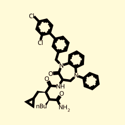 CCCC[C@H](C(N)=O)[C@@H](CC1CC1)C(=O)NC1CN(c2ccccc2)c2ccccc2N(Cc2cccc(-c3ccc(Cl)cc3Cl)c2)C1=O